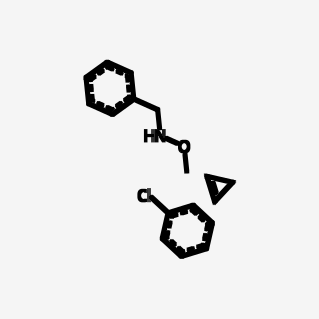 C1=CC1.CONCc1ccccc1.Clc1ccccc1